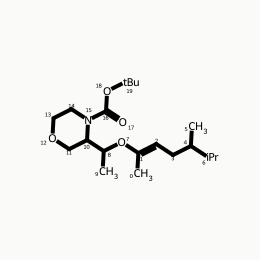 C/C(=C\CC(C)C(C)C)OC(C)C1COCCN1C(=O)OC(C)(C)C